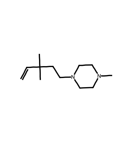 C=CC(C)(C)CCN1CCN(C)CC1